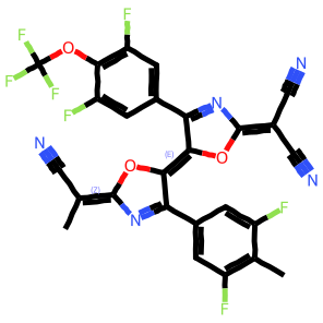 C/C(C#N)=c1\nc(-c2cc(F)c(C)c(F)c2)/c(=c2\oc(=C(C#N)C#N)nc2-c2cc(F)c(OC(F)(F)F)c(F)c2)o1